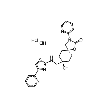 C[C@]1(CNc2nc(-c3ccccn3)cs2)CC[C@]2(CC1)CN(c1ccccn1)C(=O)O2.Cl.Cl